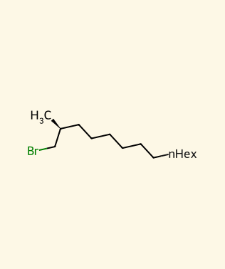 CCCCCCCCCCCC[C@H](C)CBr